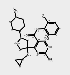 CN1CCC(N2CC(OC3CC3)(c3nc(N)ncc3C(=O)Nc3c(Cl)cccc3Cl)CN2)CC1